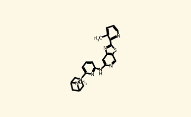 Cc1cccnc1-c1nc2cc(Nc3cccc(N4CC5CC(C4)N5C)n3)ncc2s1